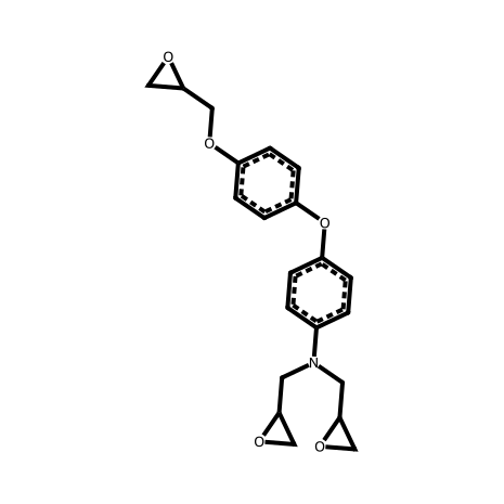 c1cc(Oc2ccc(N(CC3CO3)CC3CO3)cc2)ccc1OCC1CO1